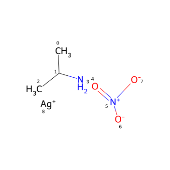 CC(C)N.O=[N+]([O-])[O-].[Ag+]